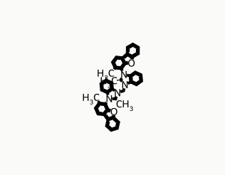 Cc1ccc2c(oc3ccccc32)c1N1c2ccccc2N(CN2c3ccccc3N(c3c(C)ccc4c3oc3ccccc34)[C@H]2C)[C@H]1C